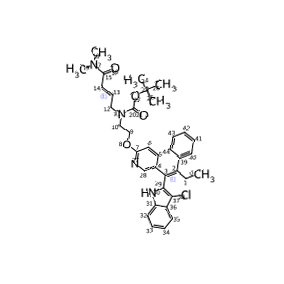 CC/C(=C(/c1ccc(OCCN(C/C=C/C(=O)N(C)C)C(=O)OC(C)(C)C)nc1)c1[nH]c2ccccc2c1Cl)c1ccccc1